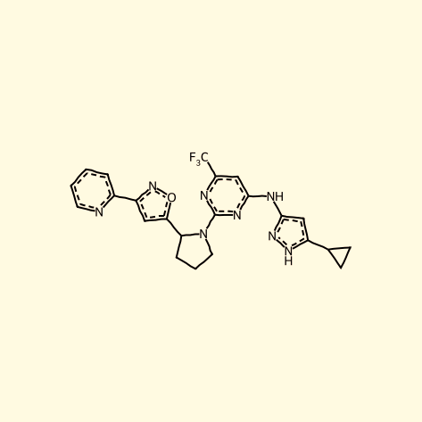 FC(F)(F)c1cc(Nc2cc(C3CC3)[nH]n2)nc(N2CCCC2c2cc(-c3ccccn3)no2)n1